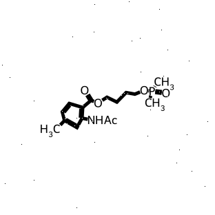 CC(=O)Nc1cc(C)ccc1C(=O)OCCCCOP(C)(C)=O